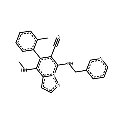 CNc1c(-c2ccccc2C)c(C#N)c(NCc2cccnc2)n2nccc12